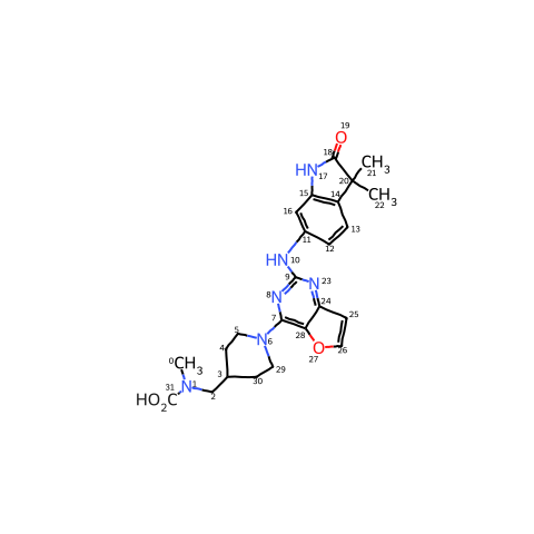 CN(CC1CCN(c2nc(Nc3ccc4c(c3)NC(=O)C4(C)C)nc3ccoc23)CC1)C(=O)O